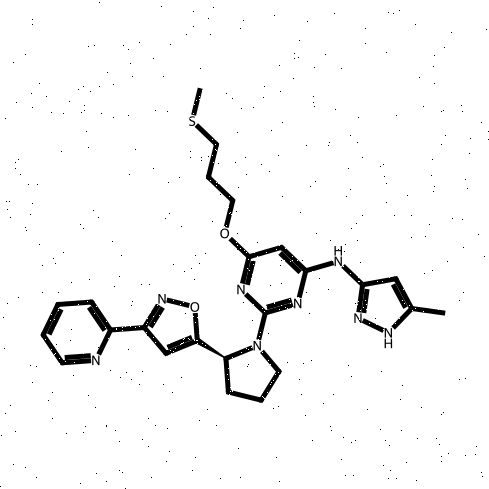 CSCCCOc1cc(Nc2cc(C)[nH]n2)nc(N2CCC[C@H]2c2cc(-c3ccccn3)no2)n1